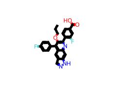 CCCOc1c(-c2ccc(C(=O)O)cc2F)nc2cc3[nH]ncc3cc2c1-c1ccc(F)cc1